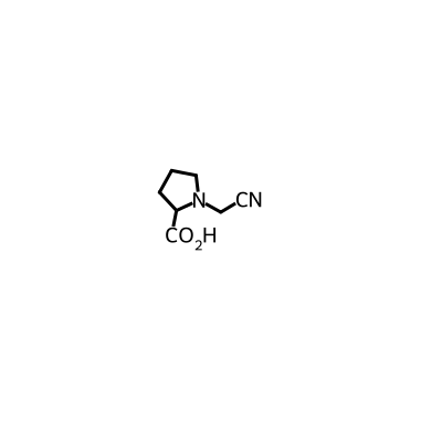 N#CCN1CCCC1C(=O)O